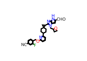 N#Cc1ccc(COc2cccc(C3CCC4(CC3)CC4c3nc4[nH]c(C=O)cc4n3CC3CCO3)n2)c(F)c1